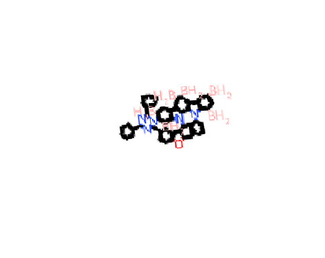 Bc1cc(B)c2c(c1)c1c(B)c(B)c3c4cc(B)cc(B)c4n(-c4cccc5oc6ccc(-c7nc(-c8ccccc8)nc(-c8ccccc8)n7)cc6c45)c3c1n2-c1ccccc1